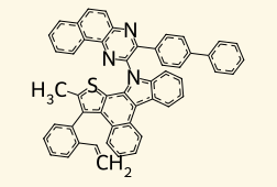 C=Cc1ccccc1-c1c(C)sc2c1c1ccccc1c1c3ccccc3n(-c3nc4c(ccc5ccccc54)nc3-c3ccc(-c4ccccc4)cc3)c21